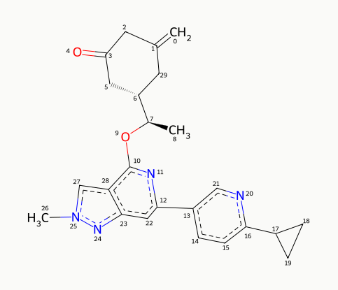 C=C1CC(=O)C[C@@H]([C@@H](C)Oc2nc(-c3ccc(C4CC4)nc3)cc3nn(C)cc23)C1